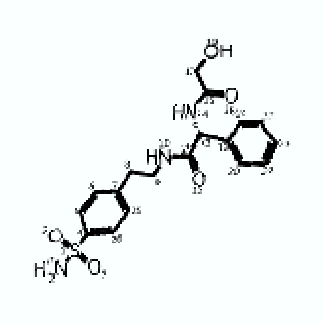 NS(=O)(=O)c1ccc(CCNC(=O)[C@H](NC(=O)CO)c2ccccc2)cc1